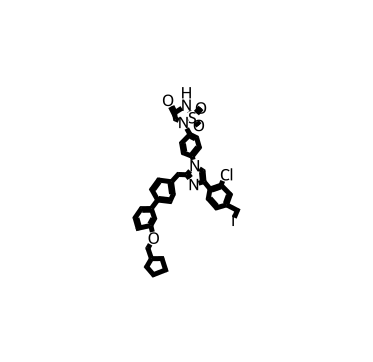 O=C1CN(c2ccc(-n3cc(-c4ccc(CI)cc4Cl)nc3Cc3ccc(-c4cccc(OCC5CCCC5)c4)cc3)cc2)S(=O)(=O)N1